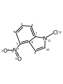 O=[N+]([O-])c1cccc2c1ccn2Cl